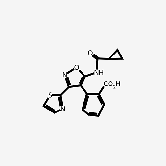 O=C(O)c1ccccc1-c1c(-c2nccs2)noc1NC(=O)C1CC1